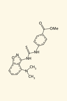 COC(=O)c1ccc(NC(=S)Nc2noc3cccc(N(C)C)c23)cc1